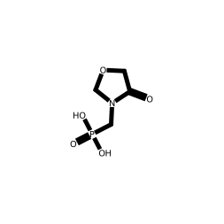 O=C1COCN1CP(=O)(O)O